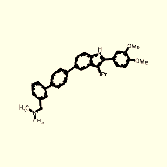 COc1ccc(-c2[nH]c3ccc(-c4ccc(-c5cccc(CN(C)C)c5)cc4)cc3c2C(C)C)cc1OC